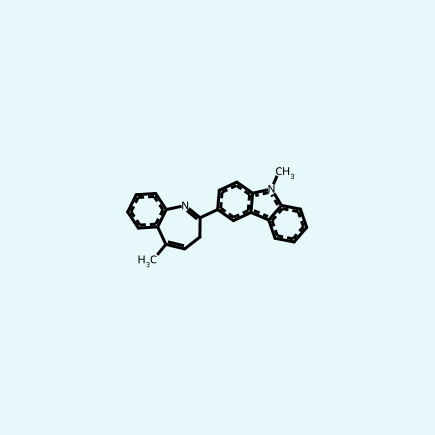 CC1=CCC(c2ccc3c(c2)c2ccccc2n3C)=Nc2ccccc21